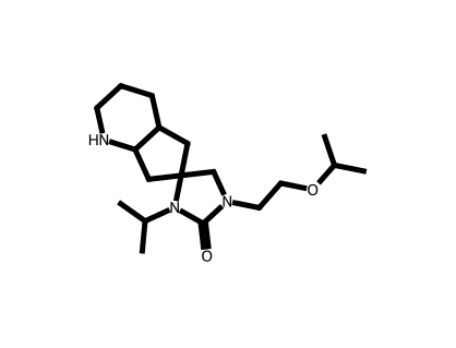 CC(C)OCCN1CC2(CC3CCCNC3C2)N(C(C)C)C1=O